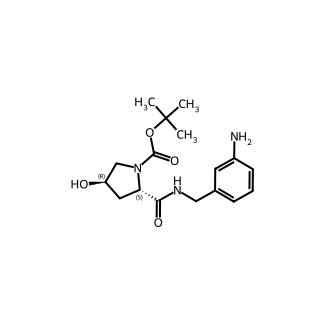 CC(C)(C)OC(=O)N1C[C@H](O)C[C@H]1C(=O)NCc1cccc(N)c1